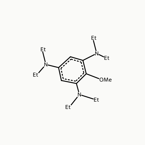 [CH2]Oc1c(N(CC)CC)cc(N(CC)CC)cc1N(CC)CC